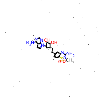 CN1C(N)=Nc2cc(CC[C@H]3C[C@@H](n4ccc5c(N)ncnc54)[C@H](O)[C@@H]3O)ccc2S1(=O)=O